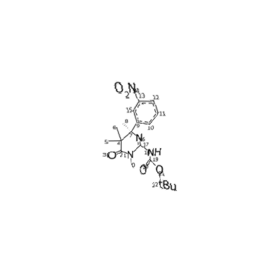 CN1C(=O)C(C)(C)[C@@](C)(c2cccc([N+](=O)[O-])c2)N=C1NC(=O)OC(C)(C)C